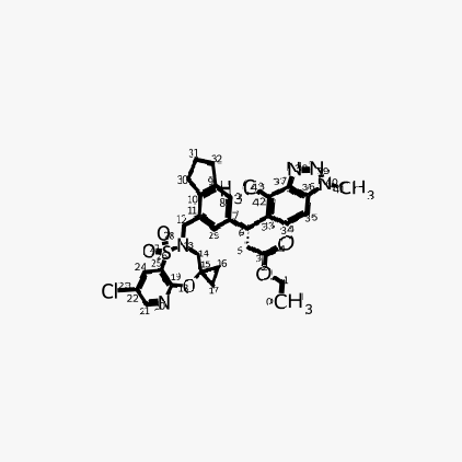 CCOC(=O)C[C@H](c1cc2c(c(CN3CC4(CC4)Oc4ncc(Cl)cc4S3(=O)=O)c1)CCC2)c1ccc2c(nnn2C)c1C